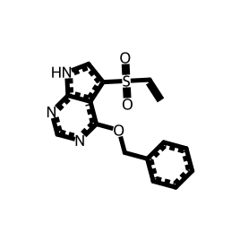 C=CS(=O)(=O)c1c[nH]c2ncnc(OCc3ccccc3)c12